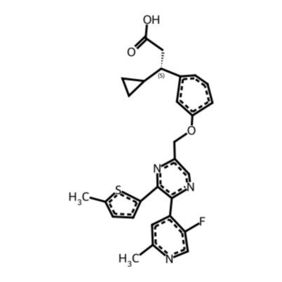 Cc1cc(-c2ncc(COc3cccc([C@@H](CC(=O)O)C4CC4)c3)nc2-c2ccc(C)s2)c(F)cn1